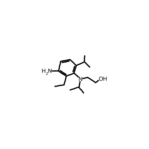 CCc1c(N)ccc(C(C)C)c1N(CCO)C(C)C